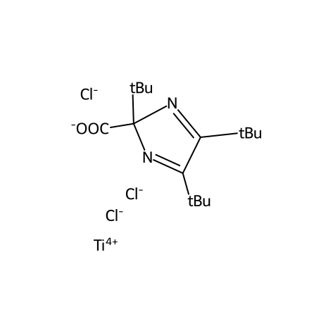 CC(C)(C)C1=NC(C(=O)[O-])(C(C)(C)C)N=C1C(C)(C)C.[Cl-].[Cl-].[Cl-].[Ti+4]